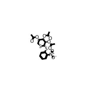 CC(=O)O[C@@H]1[C@@H](OC(C)=O)[C@H](Sc2ccccc2[N+](=O)[O-])SC[C@H]1OC(C)=O